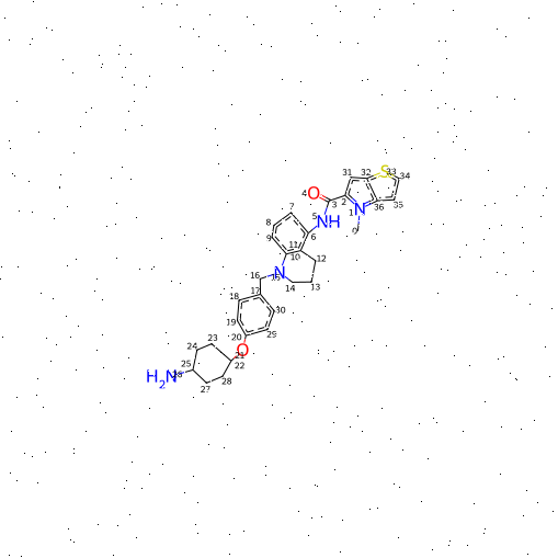 Cn1c(C(=O)Nc2cccc3c2CCCN3Cc2ccc(OC3CCC(N)CC3)cc2)cc2sccc21